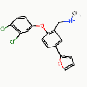 CNCc1cc(-c2ccco2)ccc1Oc1ccc(Cl)c(Cl)c1